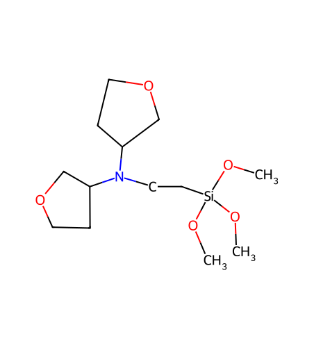 CO[Si](CCN(C1CCOC1)C1CCOC1)(OC)OC